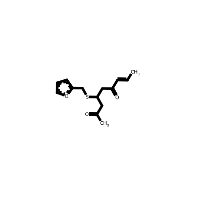 CC=CC(=O)CC(CC(C)=O)SCc1ccco1